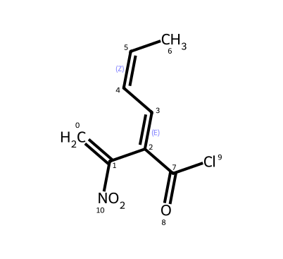 C=C(/C(=C\C=C/C)C(=O)Cl)[N+](=O)[O-]